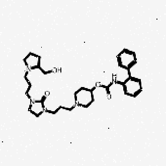 O=C(Nc1ccccc1-c1ccccc1)OC1CCN(CCCN2CCN(CCCN3CCCC3CO)C2=O)CC1